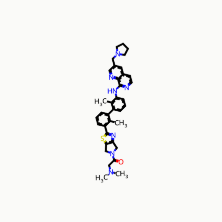 Cc1c(Nc2nccc3cc(CN4CCCC4)cnc23)cccc1-c1cccc(-c2nc3c(s2)CN(C(=O)CN(C)C)C3)c1C